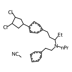 CC#N.CCCN(CCc1ccccc1)C(CC)CCc1ccc(C2CC(Cl)C(Cl)C2)cc1